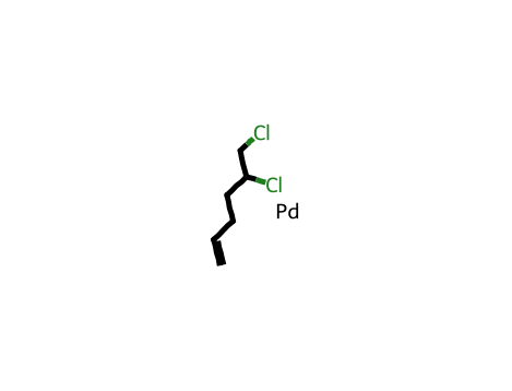 C=CCCC(Cl)CCl.[Pd]